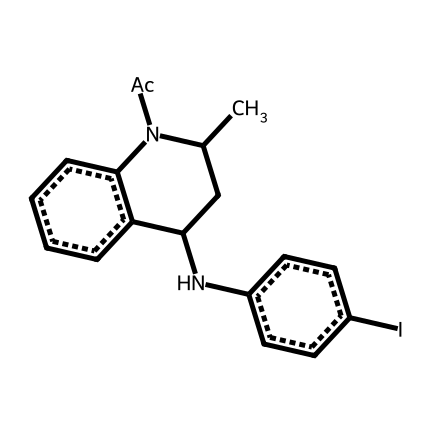 CC(=O)N1c2ccccc2C(Nc2ccc(I)cc2)CC1C